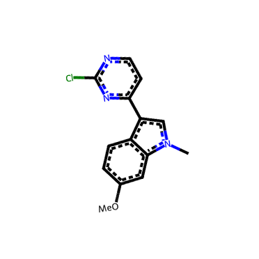 COc1ccc2c(-c3ccnc(Cl)n3)cn(C)c2c1